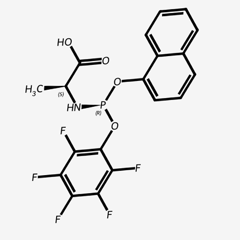 C[C@H](N[P@](Oc1c(F)c(F)c(F)c(F)c1F)Oc1cccc2ccccc12)C(=O)O